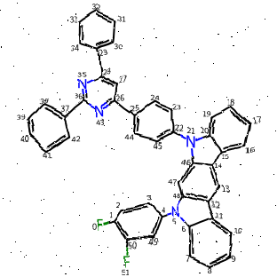 Fc1ccc(-n2c3ccccc3c3cc4c5ccccc5n(-c5ccc(-c6cc(-c7ccccc7)nc(-c7ccccc7)n6)cc5)c4cc32)cc1F